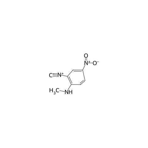 [C-]#[N+]c1cc([N+](=O)[O-])ccc1NC